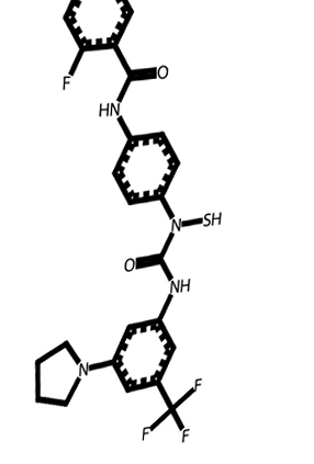 O=C(Nc1ccc(N(S)C(=O)Nc2cc(N3CCCC3)cc(C(F)(F)F)c2)cc1)c1ccccc1F